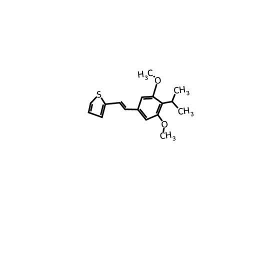 COc1cc(/C=C/c2cccs2)cc(OC)c1C(C)C